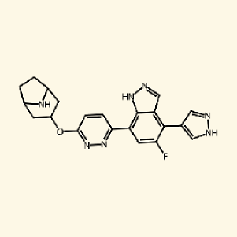 Fc1cc(-c2ccc(OC3CC4CCC(C3)N4)nn2)c2[nH]ncc2c1-c1cn[nH]c1